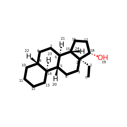 CC[C@]12CC[C@H]3[C@@H](CC[C@H]4CCCC[C@@H]43)[C@@H]1CC[C@@H]2O